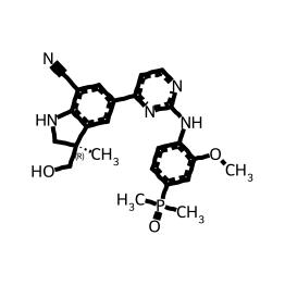 COc1cc(P(C)(C)=O)ccc1Nc1nccc(-c2cc(C#N)c3c(c2)[C@@](C)(CO)CN3)n1